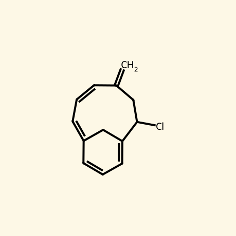 C=C1/C=C\C=C2\C=CC=C(C2)C(Cl)C1